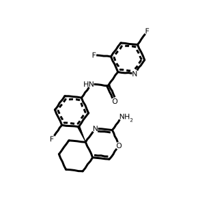 NC1=N[C@@]2(c3cc(NC(=O)c4ncc(F)cc4F)ccc3F)CCCCC2=CO1